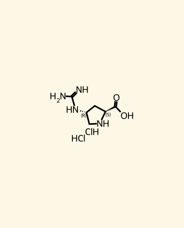 Cl.Cl.N=C(N)N[C@H]1CN[C@H](C(=O)O)C1